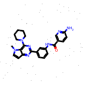 Cn1ccc2nc(-c3cccc(NC(=O)c4ccc(N)nc4)c3)nc(N3CCCCC3)c21